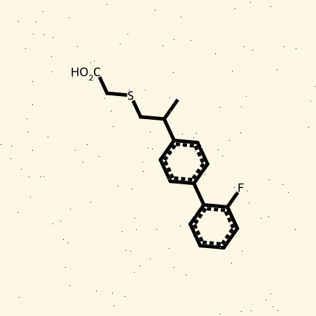 CC(CSCC(=O)O)c1ccc(-c2ccccc2F)cc1